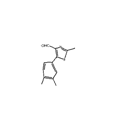 Cc1nc([C]=O)c(-c2ccc(C)c(C)c2)s1